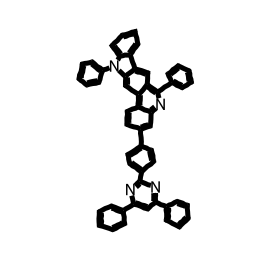 c1ccc(-c2cc(-c3ccccc3)nc(-c3ccc(-c4ccc5c(c4)nc(-c4ccccc4)c4cc6c7ccccc7n(-c7ccccc7)c6cc45)cc3)n2)cc1